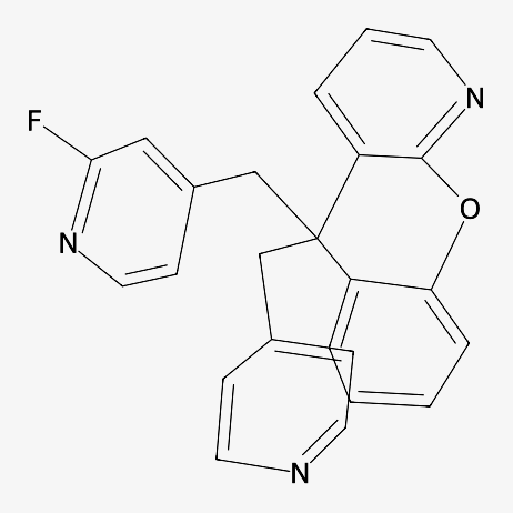 Fc1cc(CC2(Cc3ccncc3)c3ccccc3Oc3ncccc32)ccn1